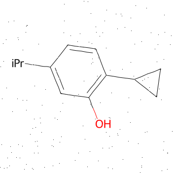 CC(C)c1ccc(C2CC2)c(O)c1